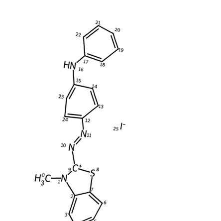 Cn1c2ccccc2s[c+]1N=Nc1ccc(Nc2ccccc2)cc1.[I-]